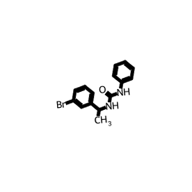 CC(NC(=O)Nc1ccccc1)c1cccc(Br)c1